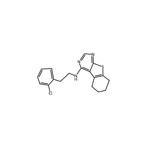 Clc1ccccc1CCNc1ncnc2sc3c(c12)CCCC3